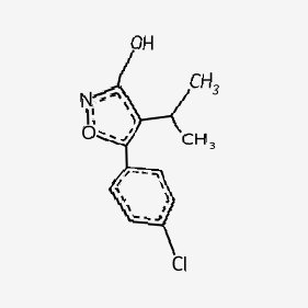 CC(C)c1c(O)noc1-c1ccc(Cl)cc1